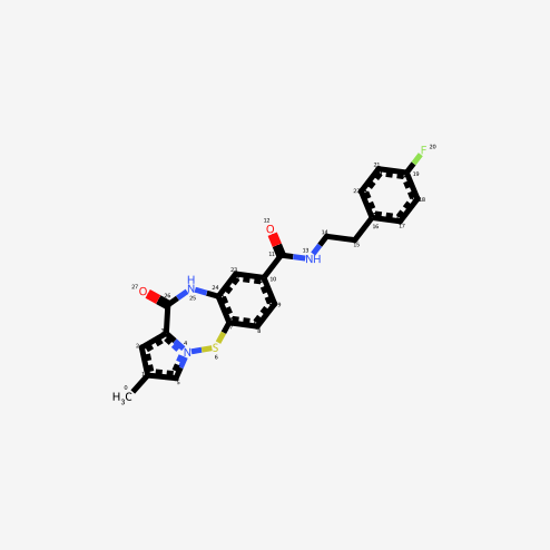 Cc1cc2n(c1)Sc1ccc(C(=O)NCCc3ccc(F)cc3)cc1NC2=O